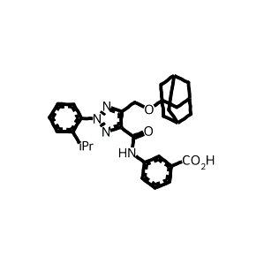 CC(C)c1ccccc1-n1nc(COC23CC4CC(CC(C4)C2)C3)c(C(=O)Nc2cccc(C(=O)O)c2)n1